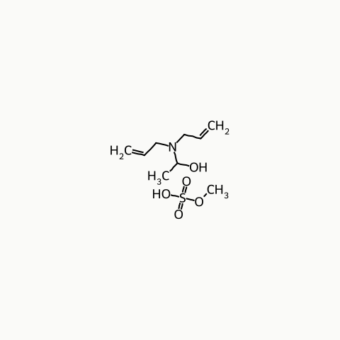 C=CCN(CC=C)C(C)O.COS(=O)(=O)O